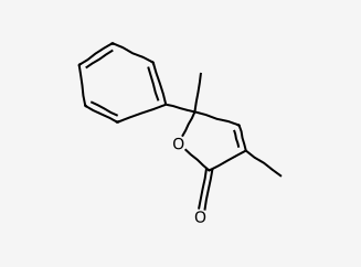 CC1=CC(C)(c2ccccc2)OC1=O